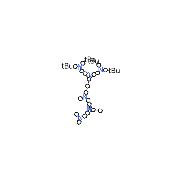 CC(C)(C)c1ccc(N(c2ccc(C(C)(C)C)cc2)c2ccc3cc4c5cc(-c6ccc(-c7ccc(N(c8ccccc8)c8ccc9cc%10c%11cc(-c%12ccccc%12)cc%12c%13cc%14ccc(N(c%15ccccc%15)c%15ccccc%15)cc%14cc%13n(c%10cc9c8)c%12%11)cc7)cc6)cc6c7cc8ccc(N(c9ccc(C(C)(C)C)cc9)c9ccc(C(C)(C)C)cc9)cc8cc7n(c4cc3c2)c56)cc1